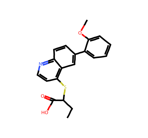 CCC(Sc1ccnc2ccc(-c3ccccc3OC)cc12)C(=O)O